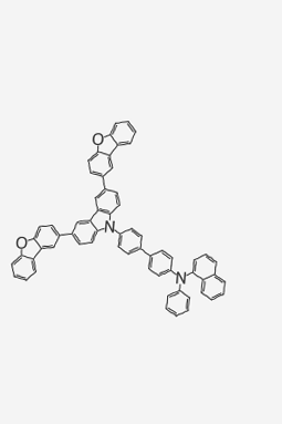 c1ccc(N(c2ccc(-c3ccc(-n4c5ccc(-c6ccc7oc8ccccc8c7c6)cc5c5cc(-c6ccc7oc8ccccc8c7c6)ccc54)cc3)cc2)c2cccc3ccccc23)cc1